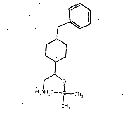 C[Si](C)(C)OC(CN)C1CCN(Cc2ccccc2)CC1